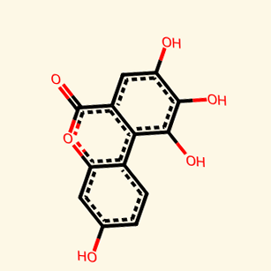 O=c1oc2cc(O)ccc2c2c(O)c(O)c(O)cc12